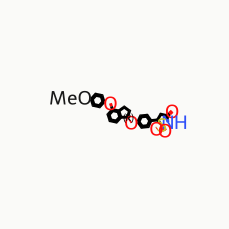 COc1ccc(Oc2cccc3c2CC[C@H]3Oc2ccc(C3CC(=O)NS3(=O)=O)cc2)cc1